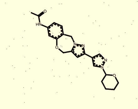 CC(=O)Nc1ccc2c(c1)OCc1cc(-c3cnn(C4CCCCO4)c3)nn1C2